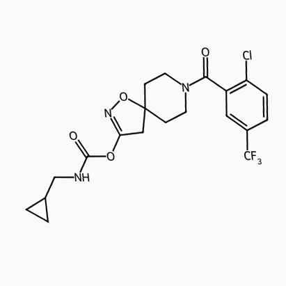 O=C(NCC1CC1)OC1=NOC2(CCN(C(=O)c3cc(C(F)(F)F)ccc3Cl)CC2)C1